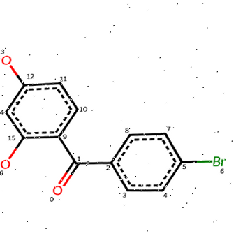 O=C(c1ccc(Br)cc1)c1ccc(O)cc1O